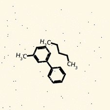 CCCCC.Cc1cccc(-c2ccccc2)c1